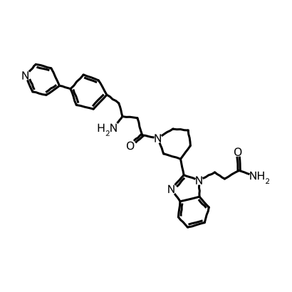 NC(=O)CCn1c(C2CCCN(C(=O)CC(N)Cc3ccc(-c4ccncc4)cc3)C2)nc2ccccc21